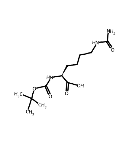 CC(C)(C)OC(=O)N[C@@H](CCCCNC(N)=O)C(=O)O